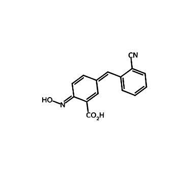 N#Cc1ccccc1C=C1C=CC(=NO)C(C(=O)O)=C1